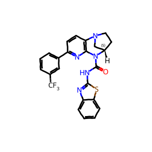 O=C(Nc1nc2ccccc2s1)N1c2nc(-c3cccc(C(F)(F)F)c3)ccc2N2CC[C@H]1C2